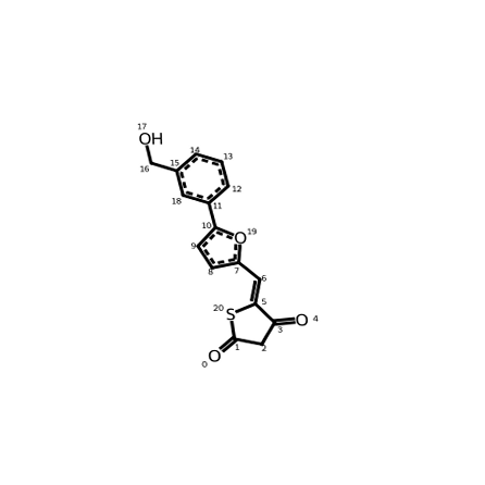 O=C1CC(=O)C(=Cc2ccc(-c3cccc(CO)c3)o2)S1